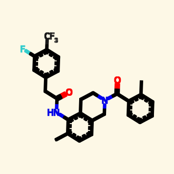 Cc1ccccc1C(=O)N1CCc2c(ccc(C)c2NC(=O)Cc2ccc(C(F)(F)F)c(F)c2)C1